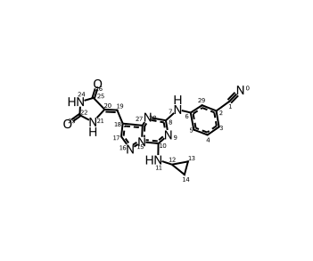 N#Cc1cccc(Nc2nc(NC3CC3)n3ncc(/C=C4\NC(=O)NC4=O)c3n2)c1